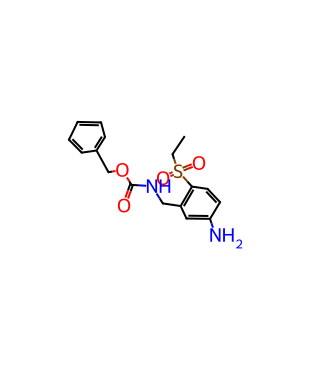 CCS(=O)(=O)c1ccc(N)cc1CNC(=O)OCc1ccccc1